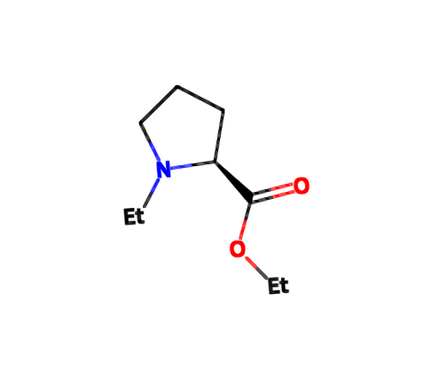 CCOC(=O)[C@@H]1CCCN1CC